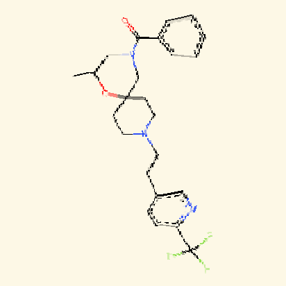 CC1CN(C(=O)c2ccccc2)CC2(CCN(CCc3ccc(C(F)(F)F)nc3)CC2)O1